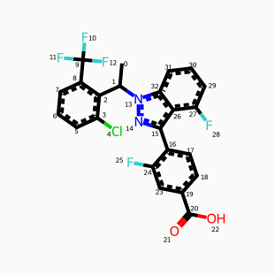 CC(c1c(Cl)cccc1C(F)(F)F)n1nc(-c2ccc(C(=O)O)cc2F)c2c(F)cccc21